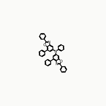 c1ccc(-c2nc3c(-c4ccccc4)cc(N(c4ccccc4)c4cc(-c5ccccc5)c5oc(-c6ccccc6)nc5c4)cc3o2)cc1